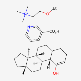 CCOCC[N+](C)(C)C.C[C@@]12CCC[C@H]1[C@@H]1CCC3CCC=C(O)[C@@H]3[C@H]1CC2.O=C(O)c1cccnc1